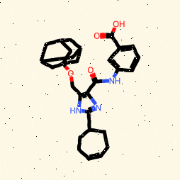 O=C(O)c1cccc(NC(=O)c2nc(C3CCC=CCC3)[nH]c2COC23CC4CC(CC(C4)C2)C3)c1